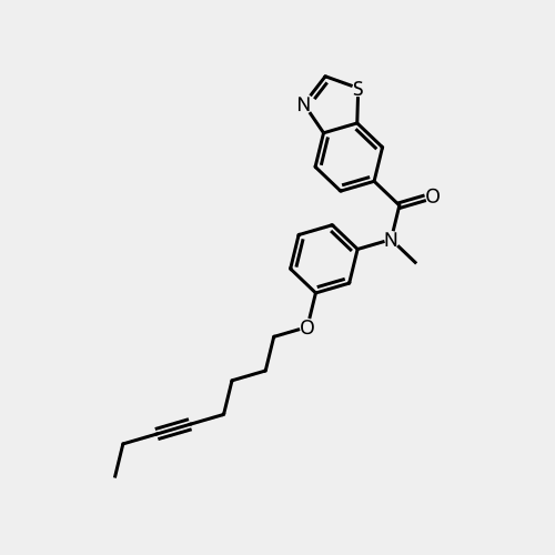 CCC#CCCCCOc1cccc(N(C)C(=O)c2ccc3ncsc3c2)c1